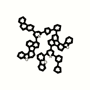 c1ccc(-c2cccc(-c3cc(-c4ccc5cc(-c6ccccc6-c6ccc(-c7cc(-c8ccc9c(ccc%10ccccc%109)c8)cc(-c8ccc9c%10c(cccc8%10)-c8c-9ccc9oc%10ccccc%10c89)n7)cc6)cc6c5c4-c4ccc5oc7ccccc7c5c4-6)cc(-c4cccc5c4oc4ccccc45)n3)c2)cc1